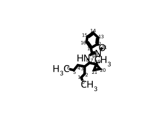 CCCC(CCC)C(Nc1noc2ccccc12)C1(C)CC1